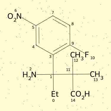 CCC(N)(c1cc([N+](=O)[O-])ccc1F)C(C)(C)C(=O)O